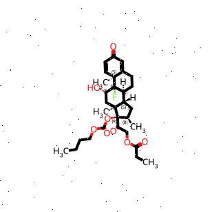 CCCCOC(=O)O[C@]1(C(=O)COC(=O)CC)[C@H](C)C[C@H]2[C@@H]3CCC4=CC(=O)C=C[C@]4(C)[C@@]3(F)[C@@H](O)C[C@@]21C